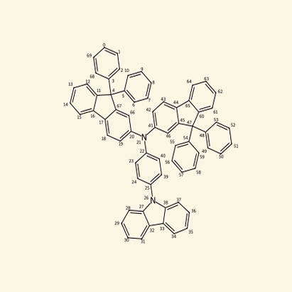 c1ccc(C2(c3ccccc3)c3ccccc3-c3ccc(N(c4ccc(-n5c6ccccc6c6ccccc65)cc4)c4ccc5c(c4)C(c4ccccc4)(c4ccccc4)c4ccccc4-5)cc32)cc1